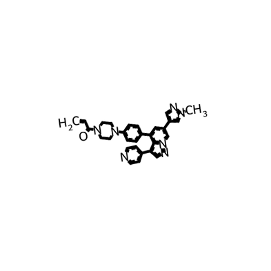 C=CC(=O)N1CCN(c2ccc(-c3cc(-c4cnn(C)c4)cn4ncc(-c5ccncc5)c34)cc2)CC1